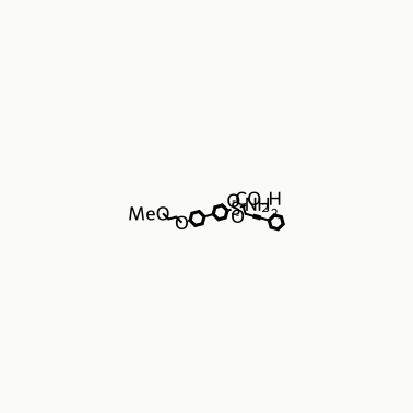 COCCOc1ccc(-c2ccc(S(=O)(=O)C(N)(CC#Cc3ccccc3)C(=O)O)cc2)cc1